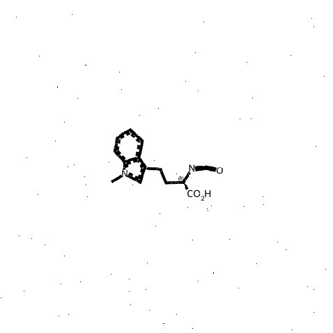 Cn1cc(CC[C@@H](N=C=O)C(=O)O)c2ccccc21